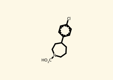 O=C(O)N1CCCC(c2ccc(Cl)cc2)CC1